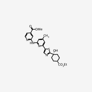 CCOC(=O)[C@H]1CC[C@@](O)(c2ncc(-c3cc(C)cc(Nc4cc(C(=O)OC)ccn4)n3)s2)CC1